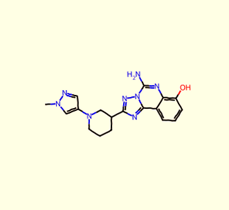 Cn1cc(N2CCCC(c3nc4c5cccc(O)c5nc(N)n4n3)C2)cn1